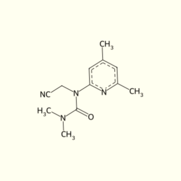 Cc1cc(C)nc(N(CC#N)C(=O)N(C)C)c1